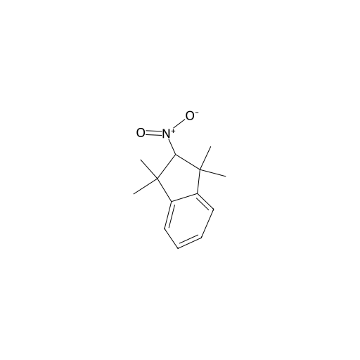 CC1(C)c2ccccc2C(C)(C)C1[N+](=O)[O-]